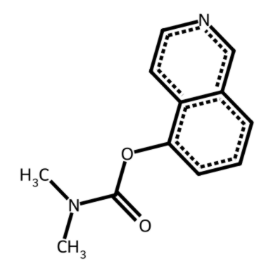 CN(C)C(=O)Oc1cccc2cnccc12